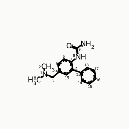 CN(C)Cc1ccc(NC(N)=O)c(-c2ccccc2)c1